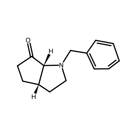 O=C1CC[C@H]2CCN(Cc3ccccc3)[C@@H]12